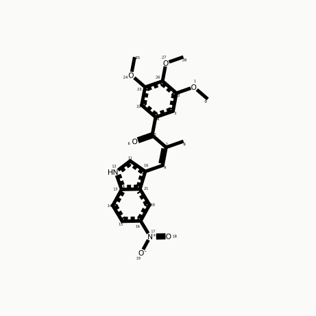 COc1cc(C(=O)C(C)=Cc2c[nH]c3ccc([N+](=O)[O-])cc23)cc(OC)c1OC